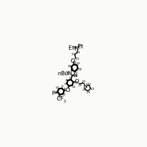 CCCCn1c(-c2ccc(Oc3ccc(F)c(C(F)(F)F)c3)cc2OCCN2CCCC2)nc2ccc(OCCCN(CC)CC)cc21